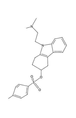 Cc1ccc(S(=O)(=O)OC2CCc3c(c4ccccc4n3CCN(C)C)C2)cc1